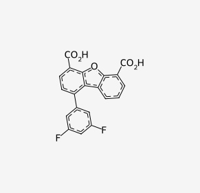 O=C(O)c1cccc2c1oc1c(C(=O)O)ccc(-c3cc(F)cc(F)c3)c12